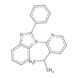 CC(C)c1cccnc1-n1c(-c2ccccc2)nc2ccccc21